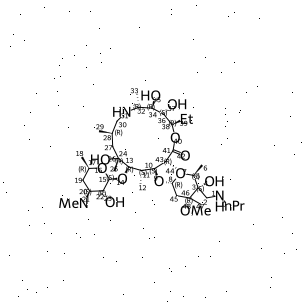 CCCNC[C@]1(O)[C@H](C)O[C@@H](O[C@H]2[C@H](C)[C@@H](O[C@@H]3O[C@H](C)C[C@H](NC)[C@H]3O)[C@](C)(O)C[C@@H](C)CN[C@H](C)[C@@H](O)[C@H](O)[C@@H](CC)OC(=O)[C@@H]2C)C[C@@]1(C)OC